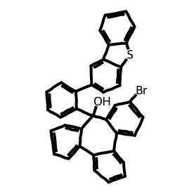 OC1(c2ccccc2-c2ccc3sc4ccccc4c3c2)c2ccccc2-c2ccccc2-c2ccc(Br)cc21